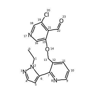 CCn1nccc1-c1ncccc1COc1cncc(Cl)c1C=O